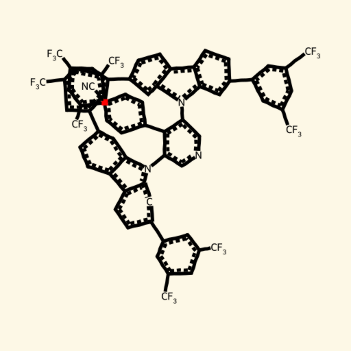 N#Cc1ccc(-c2c(-n3c4cc(-c5cc(C(F)(F)F)cc(C(F)(F)F)c5)ccc4c4ccc(-c5cc(C(F)(F)F)cc(C(F)(F)F)c5)cc43)cncc2-n2c3cc(-c4cc(C(F)(F)F)cc(C(F)(F)F)c4)ccc3c3ccc(-c4cc(C(F)(F)F)cc(C(F)(F)F)c4)cc32)cc1